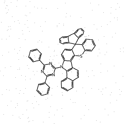 c1ccc(-c2nc(-c3ccccc3)nc(-n3c4ccc5c(c4c4ccc6ccccc6c43)Sc3ccccc3C53c4ccccc4-c4ccccc43)n2)cc1